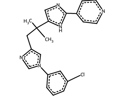 CC(C)(Cc1cn(-c2cccc(Cl)c2)cn1)c1cnc(-c2ccncc2)[nH]1